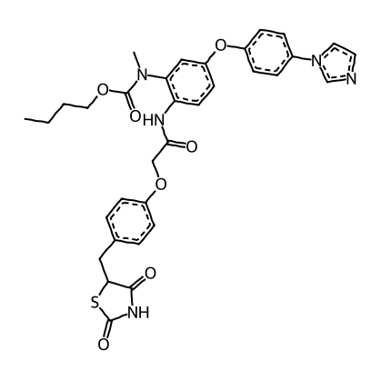 CCCCOC(=O)N(C)c1cc(Oc2ccc(-n3ccnc3)cc2)ccc1NC(=O)COc1ccc(CC2SC(=O)NC2=O)cc1